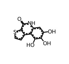 O=c1[nH]c2cc(O)c(O)c(O)c2c2ccsc12